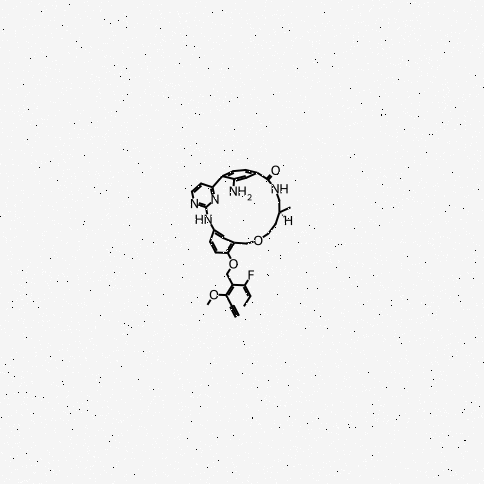 C#C/C(OC)=C(COc1ccc2cc1COCC[C@H](C)CNC(=O)c1ccc(c(N)c1)-c1ccnc(n1)N2)\C(F)=C/C